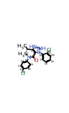 CCC1=C(C(=O)N(C)c2ccc(Cl)cc2)N(c2ccccc2Cl)NN1